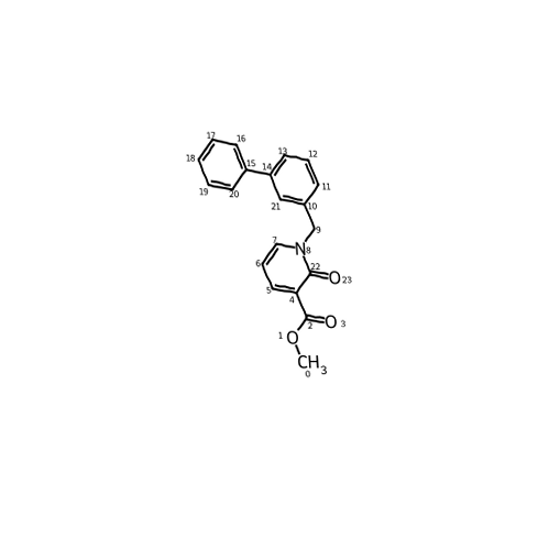 COC(=O)c1cccn(Cc2cccc(-c3ccccc3)c2)c1=O